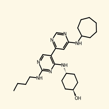 CCCCNc1ncc(-c2cc(NC3CCCCCC3)ncn2)c(N[C@H]2CC[C@H](O)CC2)n1